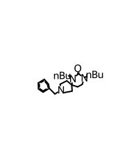 CCCCN1CCC2(CCN(Cc3ccccc3)CC2)N(CCCC)C1=O